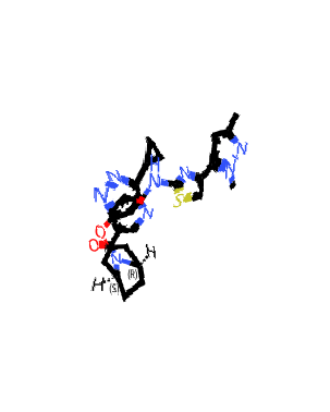 Cc1cc(-c2csc(Nc3ccc(C(=O)N4[C@@H]5CC[C@H]4C[C@@H](Oc4ccc(C6CC6)nn4)C5)cn3)n2)n(C)n1